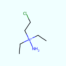 CC[N+](N)(CC)CCCl